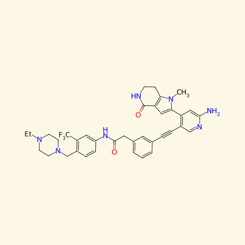 CCN1CCN(Cc2ccc(NC(=O)Cc3cccc(C#Cc4cnc(N)cc4-c4cc5c(n4C)CCNC5=O)c3)cc2C(F)(F)F)CC1